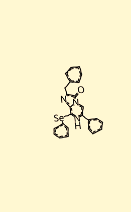 O=c1c(Cc2ccccc2)nc2c([Se]c3ccccc3)[nH]c(-c3ccccc3)cn1-2